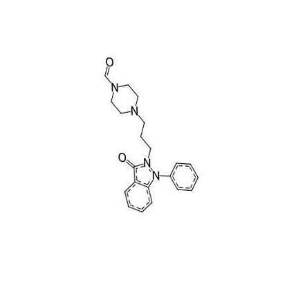 O=CN1CCN(CCCn2c(=O)c3ccccc3n2-c2ccccc2)CC1